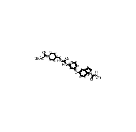 CCNC(=O)n1ccc2cc(Oc3ccnc(NC(=O)NCC4CCN(C(=O)OC(C)(C)C)CC4)c3)ccc21